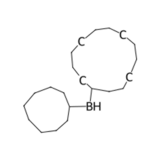 B(C1CCCCCCCCCCCC1)C1CCCCCCCC1